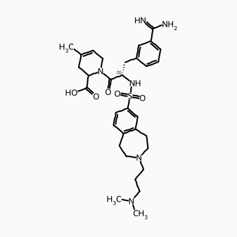 CC1=CCN(C(=O)[C@H](Cc2cccc(C(=N)N)c2)NS(=O)(=O)c2ccc3c(c2)CCN(CCCN(C)C)CC3)C(C(=O)O)C1